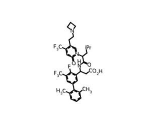 Cc1cccc(C)c1-c1cc(C(CC(=O)O)NC(=O)C(CC(C)C)n2cc(CCN3CCC3)c(C(F)(F)F)cc2=O)c(F)c(C(F)(F)F)c1